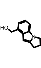 OCc1cccc2c1cc1n2CCC1